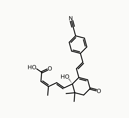 CC(=C/C(=O)O)/C=C/[C@@]1(O)C(/C=C/c2ccc(C#N)cc2)=CC(=O)CC1(C)C